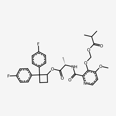 COc1ccnc(C(=O)N[C@@H](C)C(=O)OC2CCC2(c2ccc(F)cc2)c2ccc(F)cc2)c1OCOC(=O)C(C)C